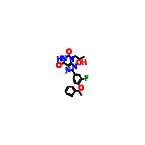 CC(O)Cn1c(=O)[nH]c(=O)c2c1nc(-c1ccc(OC(C)c3ccccc3)c(F)c1)n2C